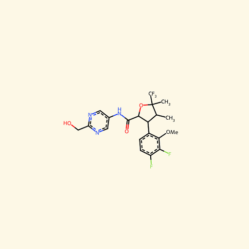 COc1c(C2C(C(=O)Nc3cnc(CO)nc3)OC(C)(C(F)(F)F)C2C)ccc(F)c1F